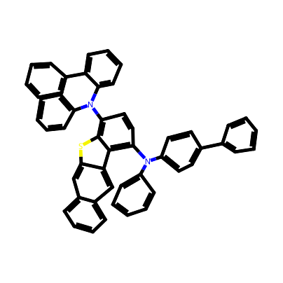 c1ccc(-c2ccc(N(c3ccccc3)c3ccc(N(c4ccccc4)c4ccccc4-c4ccccc4)c4sc5cc6ccccc6cc5c34)cc2)cc1